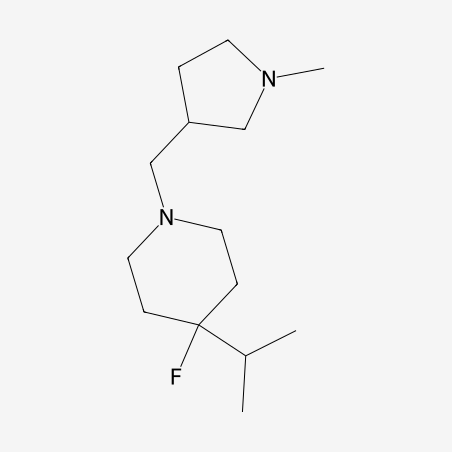 CC(C)C1(F)CCN(CC2CCN(C)C2)CC1